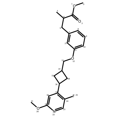 COC(=O)C(C)Cc1cccc(OCC2CC(c3cc(OC)ncc3F)C2)c1